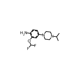 CC(C)N1CCN(c2ccc(N)c(OC(F)F)c2)CC1